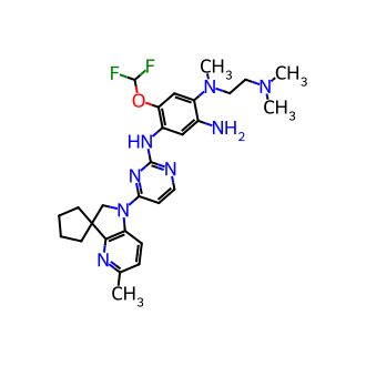 Cc1ccc2c(n1)C1(CCCC1)CN2c1ccnc(Nc2cc(N)c(N(C)CCN(C)C)cc2OC(F)F)n1